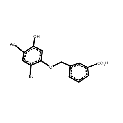 CCc1cc(C(C)=O)c(O)cc1OCc1cccc(C(=O)O)c1